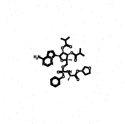 CC(C)C(=O)O[C@H]1[C@H](c2ccc3c(N)ncnn23)O[C@](C)(COP(=O)(N[C@@H](C)C(=O)O[C@@H]2CCOC2)Oc2ccccc2)[C@H]1OC(=O)C(C)C